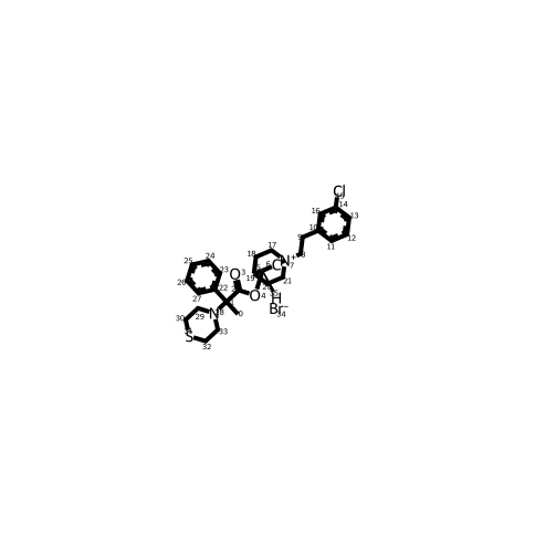 CC(C(=O)O[C@H]1C[N+]2(CCc3cccc(Cl)c3)CCC1CC2)(c1ccccc1)N1CCSCC1.[Br-]